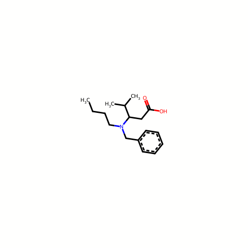 CCCCN(Cc1ccccc1)C(CC(=O)O)C(C)C